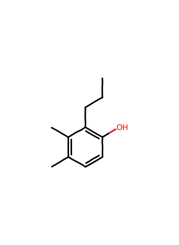 CCCc1c(O)ccc(C)c1C